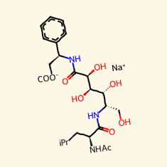 CC(=O)N[C@@H](CC(C)C)C(=O)N[C@@H](CO)[C@@H](O)[C@@H](O)[C@H](O)C(=O)N[C@@H](CC(=O)[O-])c1ccccc1.[Na+]